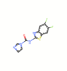 O=C(Nc1nc2cc(F)c(F)cc2s1)n1ccnc1